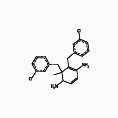 CC1(Cc2cccc(Cl)c2)C(Cc2cccc(Cl)c2)=C(N)C=CC1N